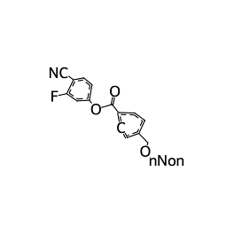 CCCCCCCCCOCc1ccc(C(=O)Oc2ccc(C#N)c(F)c2)cc1